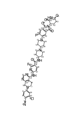 N#Cc1ccc(N2CCc3c(ncnc3Nc3ccc(C(=O)NC4CCN(C5CCN(c6cc7c(cc6F)C(=O)N(C6CCC(=O)NC6=O)C7=O)CC5)CC4)c(F)n3)C2)cc1Cl